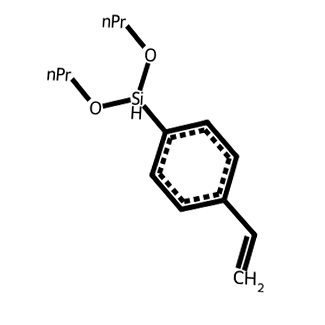 C=Cc1ccc([SiH](OCCC)OCCC)cc1